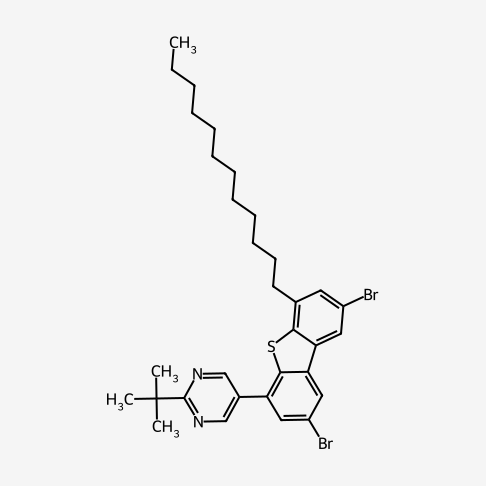 CCCCCCCCCCCCc1cc(Br)cc2c1sc1c(-c3cnc(C(C)(C)C)nc3)cc(Br)cc12